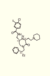 CC[C@@H](CN1CC[C@@H](CNC(=O)c2ccc(Cl)c(I)c2)N[C@@H](CCN2CCCCC2)C1=O)c1ccccc1